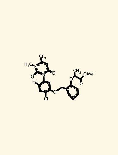 COC(=O)C(C)Oc1ccccc1COc1cc(-n2c(=O)cc(C(F)(F)F)n(C)c2=O)c(F)cc1Cl